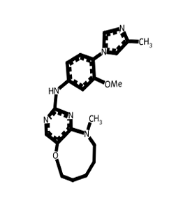 COc1cc(Nc2ncc3c(n2)N(C)CCCCCO3)ccc1-n1cnc(C)c1